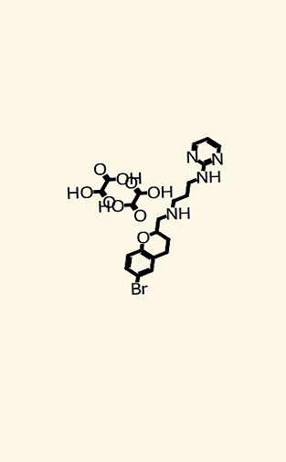 Brc1ccc2c(c1)CCC(CNCCCNc1ncccn1)O2.O=C(O)C(=O)O.O=C(O)C(=O)O